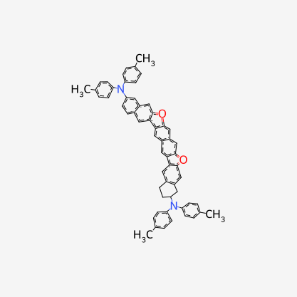 Cc1ccc(N(c2ccc(C)cc2)c2ccc3cc4c(cc3c2)oc2cc3cc5oc6cc7c(cc6c5cc3cc24)CCC(N(c2ccc(C)cc2)c2ccc(C)cc2)C7)cc1